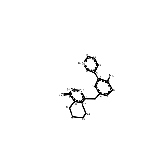 O=c1[nH]nc(Cc2ccc(F)c(-c3cccnc3)c2)c2c1CCCC2